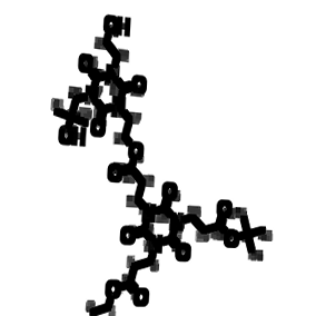 CCOC(=O)CCn1c(=O)n(CCC(=O)OCCn2c(=O)n(CCO)c(=O)n(CC(C)(C)O)c2=O)c(=O)n(CCC(=O)OC(C)(C)C)c1=O